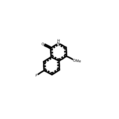 COc1c[nH]c(=O)c2cc(F)ccc12